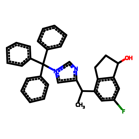 CC(c1cn(C(c2ccccc2)(c2ccccc2)c2ccccc2)cn1)c1cc(F)cc2c1CCC2O